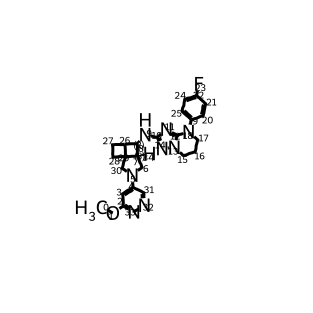 COc1cc(N2C[C@H]3[C@H](Nc4nc5n(n4)CCCN5c4ccc(F)cc4)C4CCC43C2)cnn1